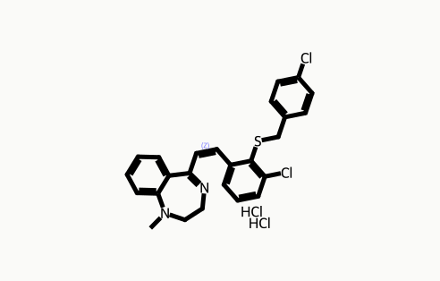 CN1CCN=C(/C=C\c2cccc(Cl)c2SCc2ccc(Cl)cc2)c2ccccc21.Cl.Cl